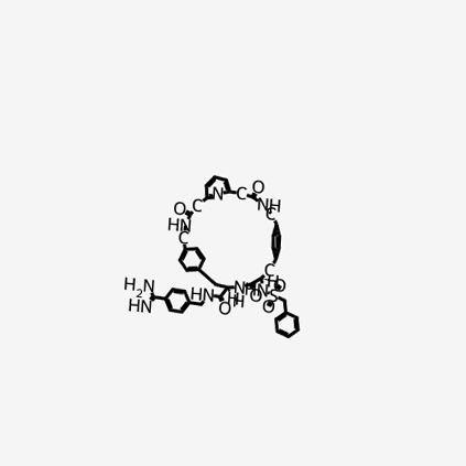 N=C(N)c1ccc(CNC(=O)[C@@H]2Cc3ccc(cc3)CNC(=O)Cc3cccc(n3)CC(=O)NCc3ccc(cc3)C[C@@H](NS(=O)(=O)Cc3ccccc3)C(=O)N2)cc1